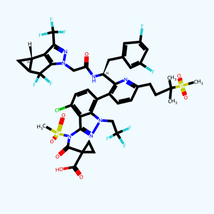 CC(C)(CCc1ccc(-c2ccc(Cl)c3c(N(C(=O)C4(C(=O)O)CC4)S(C)(=O)=O)nn(CC(F)(F)F)c23)c([C@H](Cc2cc(F)cc(F)c2)NC(=O)Cn2nc(C(F)(F)F)c3c2C(F)(F)C2C[C@H]32)n1)S(C)(=O)=O